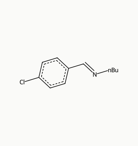 CCCC/N=C/c1ccc(Cl)cc1